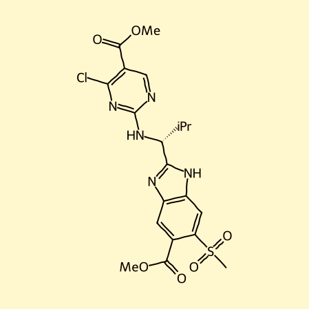 COC(=O)c1cc2nc([C@H](Nc3ncc(C(=O)OC)c(Cl)n3)C(C)C)[nH]c2cc1S(C)(=O)=O